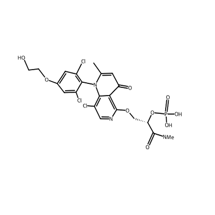 CNC(=O)[C@H](COc1ncc(Cl)c2c1c(=O)cc(C)n2-c1c(Cl)cc(OCCO)cc1Cl)OP(=O)(O)O